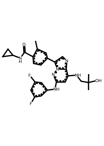 Cc1cc(-c2cnc3c(NCC(C)(C)O)cc(Nc4cc(F)cc(F)c4)nn23)ccc1C(=O)NC1CC1